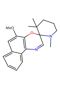 COc1cc2ccccc2c2c1OC1(C=N2)N(C)CCCC1(C)C